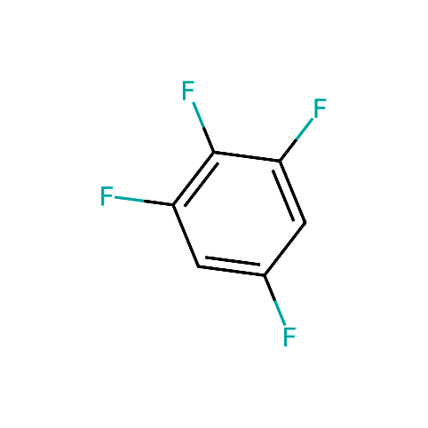 Fc1cc(F)c(F)c(F)c1